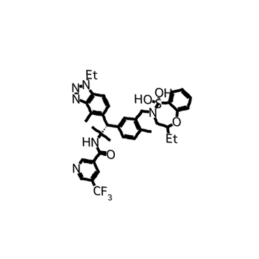 CCC1CN(Cc2cc([C@@H](c3ccc4c(nnn4CC)c3C)C(C)(C)NC(=O)c3cncc(C(F)(F)F)c3)ccc2C)S(O)(O)c2ccccc2O1